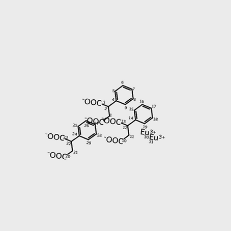 O=C([O-])CC(C(=O)[O-])c1ccccc1.O=C([O-])CC(C(=O)[O-])c1ccccc1.O=C([O-])CC(C(=O)[O-])c1ccccc1.[Eu+3].[Eu+3]